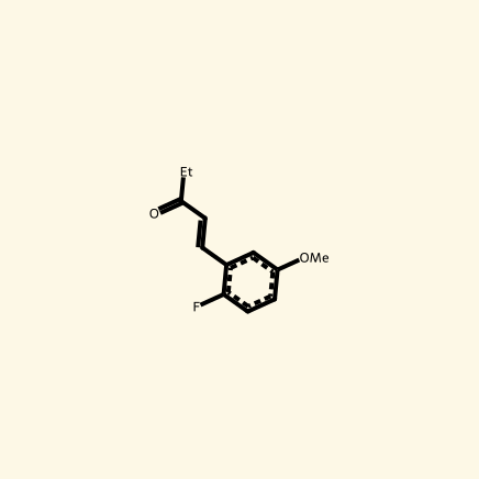 CCC(=O)C=Cc1cc(OC)ccc1F